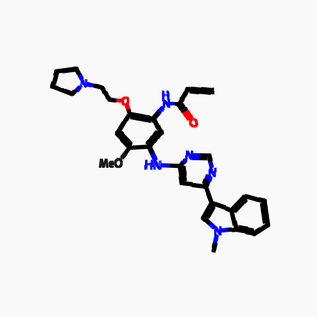 C=CC(=O)Nc1cc(Nc2cc(-c3cn(C)c4ccccc34)ncn2)c(OC)cc1OCCN1CCCC1